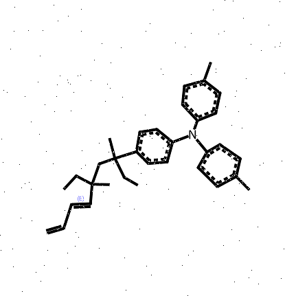 C=C/C=C/C(C)(CC)CC(C)(CC)c1ccc(N(c2ccc(C)cc2)c2ccc(C)cc2)cc1